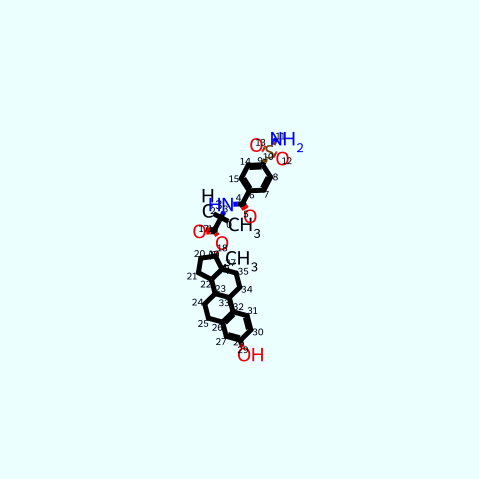 CC(C)(NC(=O)c1ccc(S(N)(=O)=O)cc1)C(=O)O[C@H]1CCC2C3CCc4cc(O)ccc4C3CC[C@@]21C